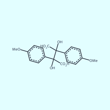 COc1ccc(C(O)(C(=O)O)C(O)(C(=O)O)c2ccc(OC)cc2)cc1